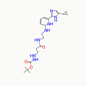 CC(C)(C)OC(=O)NNCCC(=O)NCCNC1C=CC=C(c2ncc(C3CC3)[nH]2)N1